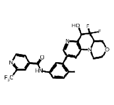 Cc1ccc(NC(=O)c2ccnc(C(F)(F)F)c2)cc1-c1cnc2c(c1)N1CCOCC1C(F)(F)C2O